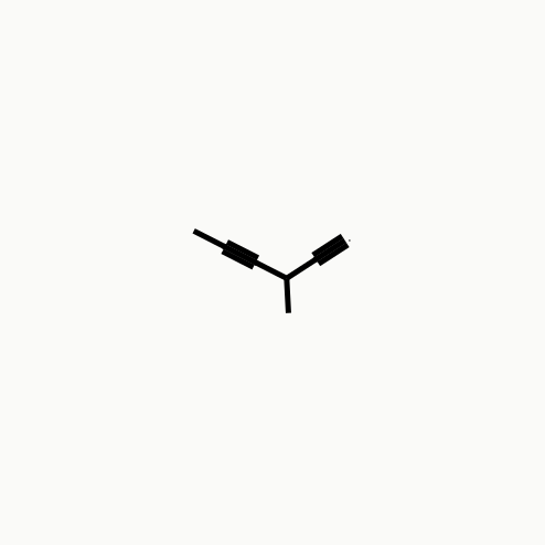 [C]#CC(C)C#CC